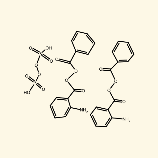 Nc1ccccc1C(=O)OOC(=O)c1ccccc1.Nc1ccccc1C(=O)OOC(=O)c1ccccc1.O=S(=O)(O)OOS(=O)(=O)O